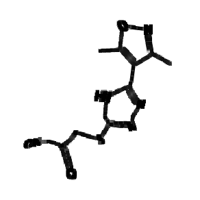 Cc1noc(C)c1-c1nnc(SCC(=O)N=O)[nH]1